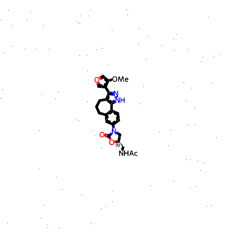 COc1cocc1-c1n[nH]c2c1CCCc1cc(N3C[C@H](CNC(C)=O)OC3=O)ccc1-2